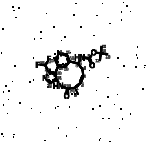 C[C@@H]1C=CC[C@H](NC(=O)OC(C)(C)C)c2cncc(c2)-c2c(cnn2C(F)F)NC1=O